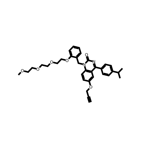 C#CCOc1ccc2c(c1)c(-c1ccc(C(C)C)cc1)nc(=O)n2Cc1ccccc1OCCOCCOCCOC